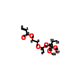 C=CC(=O)OCCOC(C)O[Si](CC)(OC)OC